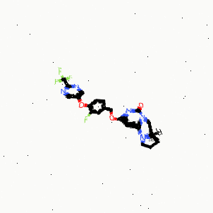 O=c1nc(OCc2ccc(Oc3cnc(C(F)(F)F)nc3)c(F)c2)cc2n1C[C@@H]1CCCN21